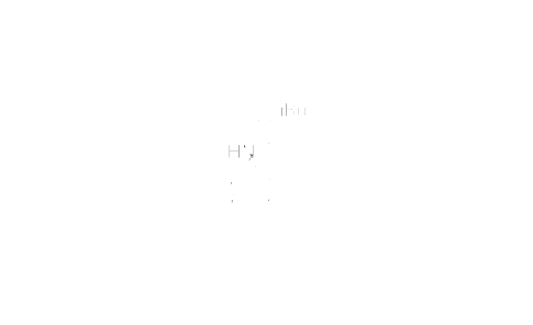 CCC(C)OCNc1ccccc1